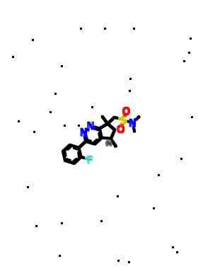 C[C@@H]1CC(C)(CS(=O)(=O)N(C)C)c2nnc(-c3ccccc3F)cc21